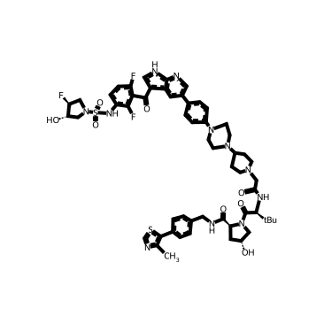 Cc1ncsc1-c1ccc(CNC(=O)[C@@H]2C[C@@H](O)CN2C(=O)[C@@H](NC(=O)CN2CCC(N3CCN(c4ccc(-c5cnc6[nH]cc(C(=O)c7c(F)ccc(NS(=O)(=O)N8C[C@H](O)[C@@H](F)C8)c7F)c6c5)cc4)CC3)CC2)C(C)(C)C)cc1